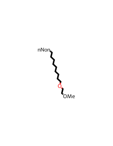 CCCCCCCCCCCCCCCCCCOCCOC